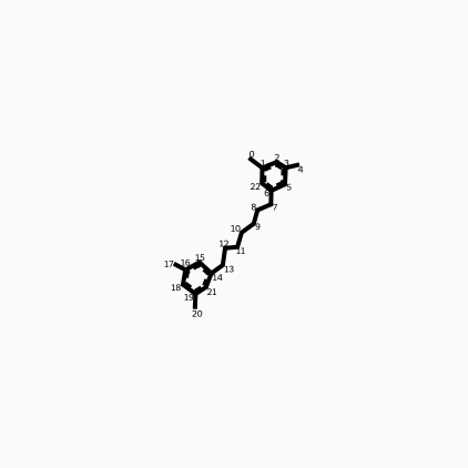 Cc1cc(C)cc(CCCCCCCc2cc(C)cc(C)c2)c1